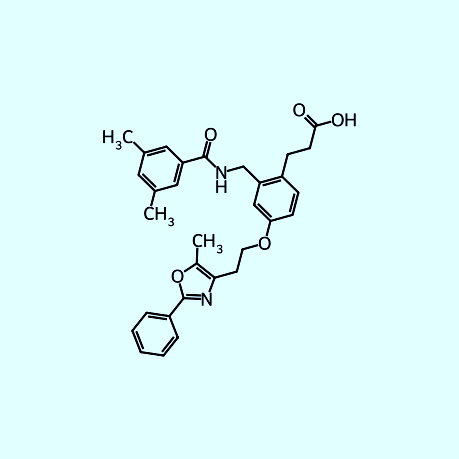 Cc1cc(C)cc(C(=O)NCc2cc(OCCc3nc(-c4ccccc4)oc3C)ccc2CCC(=O)O)c1